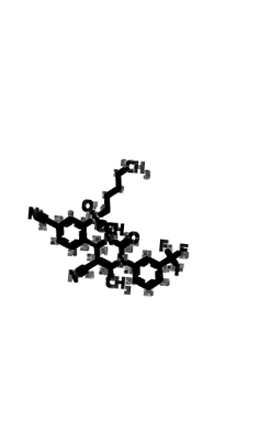 CCCCCS(=O)(=O)c1cc(C#N)ccc1[C@@H]1C(C#N)=C(C)N(c2cccc(C(F)(F)F)c2)C(=O)N1C